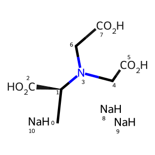 C[C@@H](C(=O)O)N(CC(=O)O)CC(=O)O.[NaH].[NaH].[NaH]